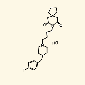 Cl.O=C1CC2(CCCC2)CC(=O)N1CCCCN1CCC(Cc2ccc(F)cc2)CC1